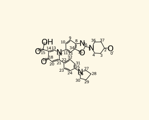 COC1CCN(c2nc3ccc(-n4cc(C(=O)O)c(=O)cc4-c4ccc(N5CCCC5)cc4)cc3o2)CC1